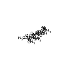 CCOC(=O)Oc1ccc(C(=O)ON=CC(=O)N[C@@H]2C(=O)N3C(C(=O)O)=C(CSc4nnnn4C)CS[C@@H]23)c(-c2coc(N)n2)c1OC(=O)OCC